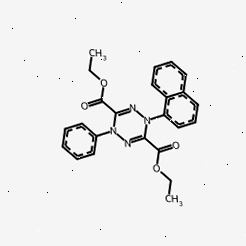 CCOC(=O)C1=NN(c2cccc3ccccc23)C(C(=O)OCC)=NN1c1ccccc1